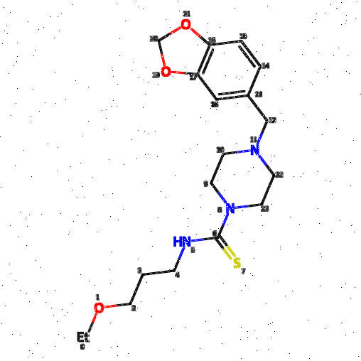 CCOCCCNC(=S)N1CCN(Cc2ccc3c(c2)OCO3)CC1